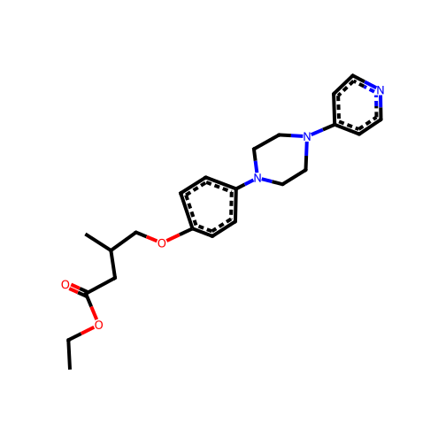 CCOC(=O)CC(C)COc1ccc(N2CCN(c3ccncc3)CC2)cc1